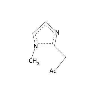 CC(=O)Cc1nccn1C